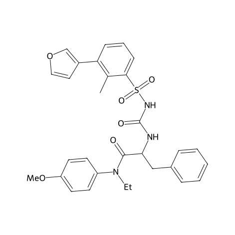 CCN(C(=O)C(Cc1ccccc1)NC(=O)NS(=O)(=O)c1cccc(-c2ccoc2)c1C)c1ccc(OC)cc1